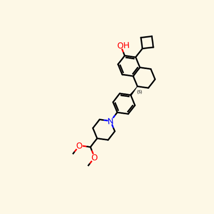 COC(OC)C1CCN(c2ccc([C@@H]3CCCc4c3ccc(O)c4C3CCC3)cc2)CC1